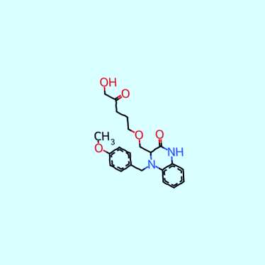 COc1ccc(CN2c3ccccc3NC(=O)C2COCCCC(=O)CO)cc1